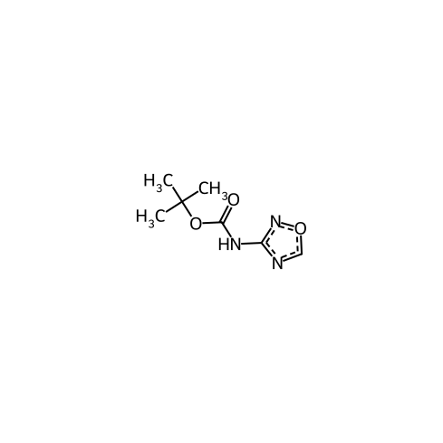 CC(C)(C)OC(=O)Nc1ncon1